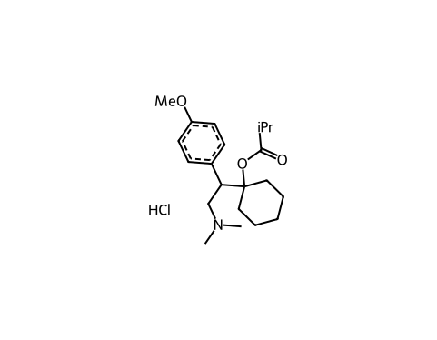 COc1ccc(C(CN(C)C)C2(OC(=O)C(C)C)CCCCC2)cc1.Cl